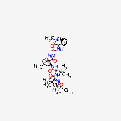 CC(C)C[C@H](NC(=O)[C@@H]1CC(C)(C)CN1C(=O)[C@@H](NC(=O)OC(C)C)C(C)(C)C)C(=O)C(=O)NCC(=O)N[C@H](C(=O)N(C)C)c1ccccc1